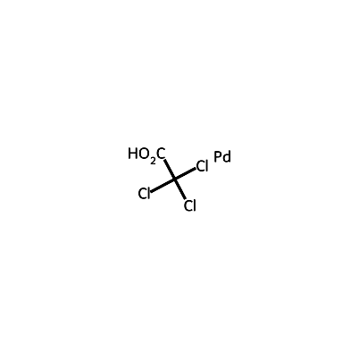 O=C(O)C(Cl)(Cl)Cl.[Pd]